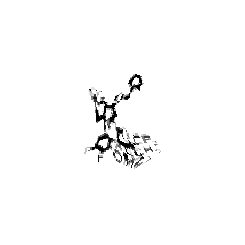 COc1c([C@H]2[C@H](c3cc(OCc4ccccc4)c4c[n+]([O-])ccc4n3)O[C@@](C)(C(F)(F)F)[C@H]2C)ccc(F)c1F